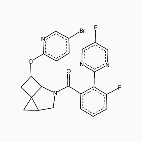 O=C(c1cccc(F)c1-c1ncc(F)cn1)N1CC2CC23CC(Oc2ccc(Br)cn2)C13